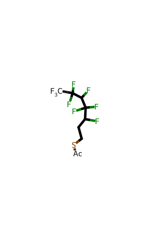 CC(=O)SCCC(F)C(F)(F)C(F)C(F)(F)C(F)(F)F